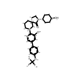 O=C1N([C@H]2CC[C@H](O)CC2)CC[C@]12CCCN(c1ncc(-c3ccc(OC(F)(F)F)cc3)cc1Cl)C2